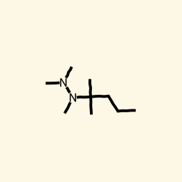 CCCC(C)(C)N(C)N(C)C